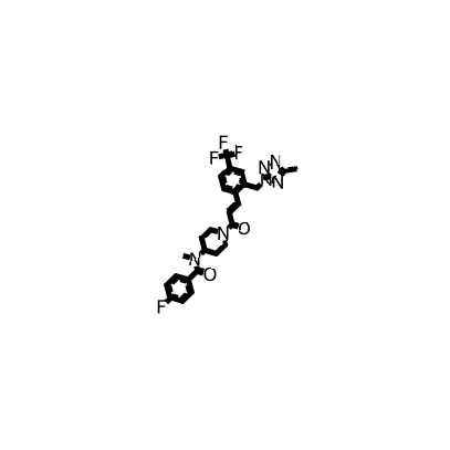 Cc1nnn(Cc2cc(C(F)(F)F)ccc2/C=C/C(=O)N2CCC(N(C)C(=O)c3ccc(F)cc3)CC2)n1